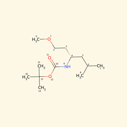 COCC[C@H](CC(C)C)NC(=O)OC(C)(C)C